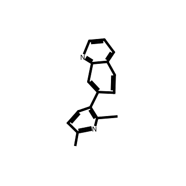 Cc1ccc(-c2ccc3cccnc3c2)c(C)n1